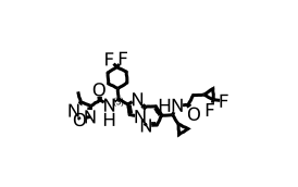 Cc1nonc1C(=O)N[C@H](c1cn2ncc(C(NC(=O)CC3CC3(F)F)C3CC3)cc2n1)C1CCC(F)(F)CC1